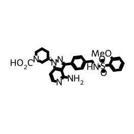 COc1ccccc1S(=O)(=O)NCc1ccc(-c2nn([C@@H]3CCCN(C(=O)O)C3)c3ccnc(N)c23)cc1